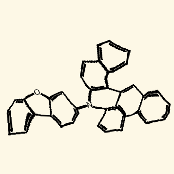 c1ccc(N(c2ccc3c(c2)oc2ccccc23)c2ccc3ccccc3c2-c2ccc3ccccc3c2)cc1